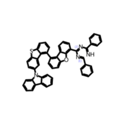 N=C(/N=C(\N=C\c1ccccc1)c1cccc2c1oc1cccc(-c3cccc4sc5ccc(-n6c7ccccc7c7ccccc76)cc5c34)c12)c1ccccc1